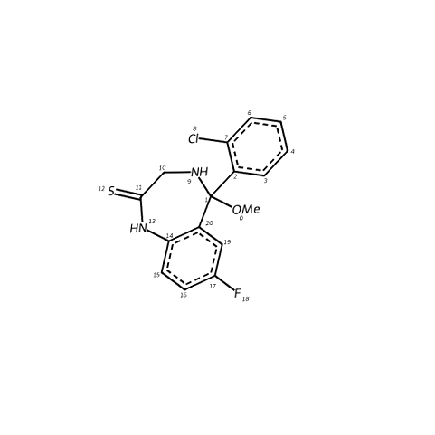 COC1(c2ccccc2Cl)NCC(=S)Nc2ccc(F)cc21